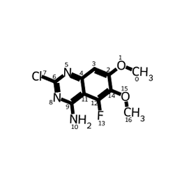 COc1cc2nc(Cl)nc(N)c2c(F)c1OC